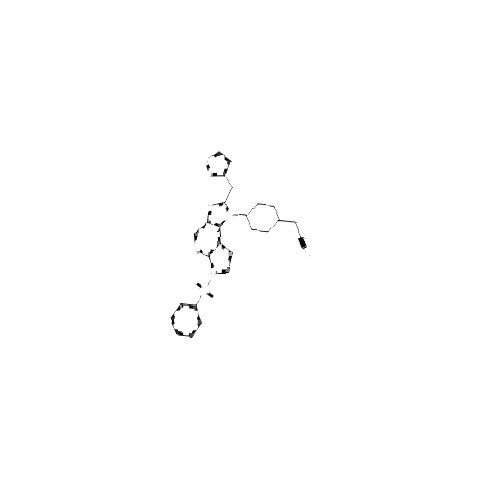 N#CCC1CCC(n2c(Cc3ccn[nH]3)nc3cnc4c(ccn4S(=O)(=O)c4ccccc4)c32)CC1